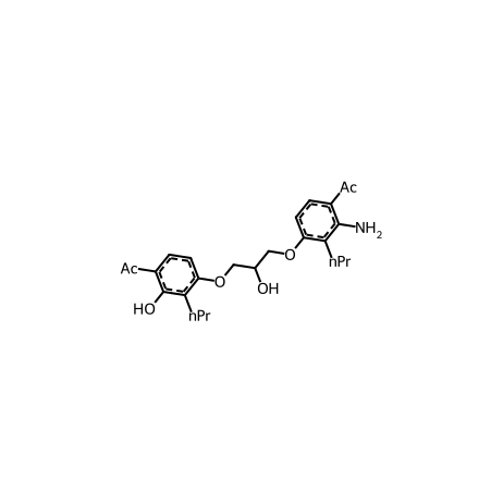 CCCc1c(OCC(O)COc2ccc(C(C)=O)c(O)c2CCC)ccc(C(C)=O)c1N